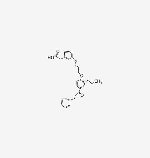 CCCc1cc(C(=O)CCc2ccccc2)ccc1OCCCSc1cccc(CC(=O)O)c1